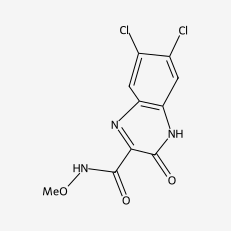 CONC(=O)c1nc2cc(Cl)c(Cl)cc2[nH]c1=O